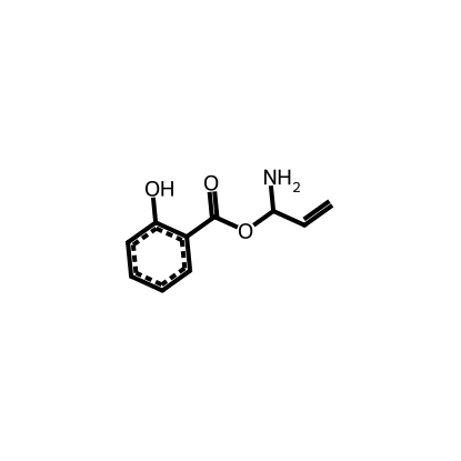 C=CC(N)OC(=O)c1ccccc1O